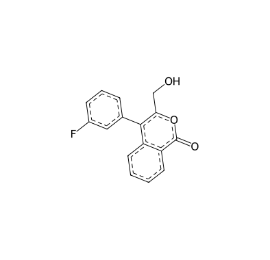 O=c1oc(CO)c(-c2cccc(F)c2)c2ccccc12